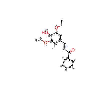 CCOc1cc(/C=C/C(=O)c2ccccc2)c(C)c(OCC)c1O